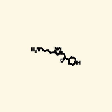 NCCCCc1cn(CC(=O)C2CCNCC2)nn1